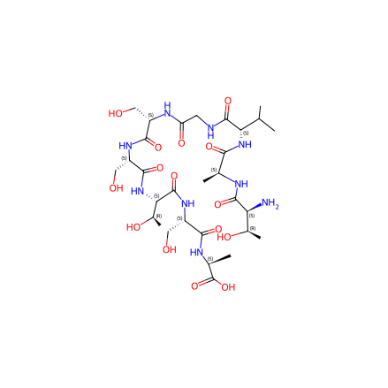 CC(C)[C@H](NC(=O)[C@H](C)NC(=O)[C@@H](N)[C@@H](C)O)C(=O)NCC(=O)N[C@@H](CO)C(=O)N[C@@H](CO)C(=O)N[C@H](C(=O)N[C@@H](CO)C(=O)N[C@@H](C)C(=O)O)[C@@H](C)O